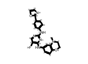 CN1CCOc2ccc(Nc3nc(Nc4ccc(-c5ncco5)cc4)ncc3F)cc21